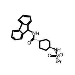 CC(C)S(=O)(=O)N[C@H]1CC[C@H](C(=O)NC2c3ccccc3-c3ccccc32)CC1